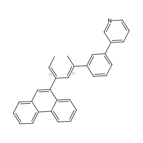 C/C=C(\C=C(/C)c1cccc(-c2cccnc2)c1)c1cc2ccccc2c2ccccc12